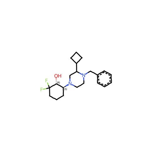 O[C@@H]1[C@@H](N2CCN(Cc3ccccc3)C(C3CCC3)C2)CCCC1(F)F